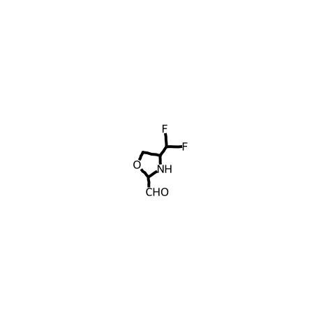 O=CC1NC(C(F)F)CO1